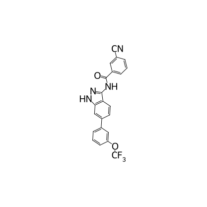 N#Cc1cccc(C(=O)Nc2n[nH]c3cc(-c4cccc(OC(F)(F)F)c4)ccc23)c1